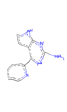 Nc1nc(-c2ccccn2)c2cc[nH]c2n1